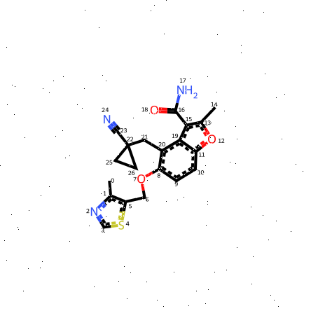 Cc1ncsc1COc1ccc2oc(C)c(C(N)=O)c2c1CC1(C#N)CC1